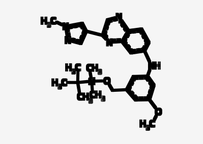 COc1cc(CO[Si](C)(C)C(C)(C)C)cc(Nc2ccc3ncc(-c4cnn(C)c4)nc3c2)c1